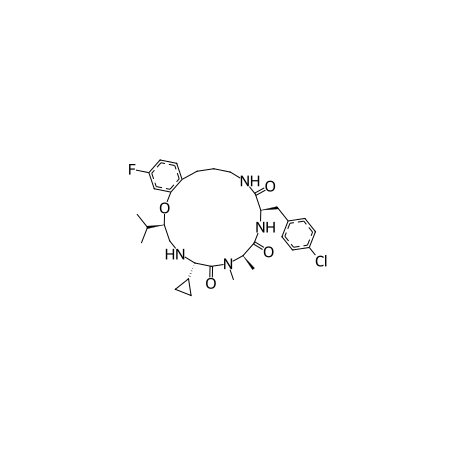 CC(C)[C@@H]1CN[C@@H](C2CC2)C(=O)N(C)[C@H](C)C(=O)N[C@H](Cc2ccc(Cl)cc2)C(=O)NCCCc2ccc(F)cc2O1